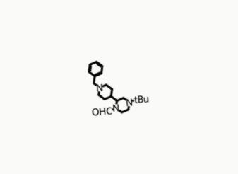 CC(C)(C)N1CCN(C=O)C(C2CCN(Cc3ccccc3)CC2)C1